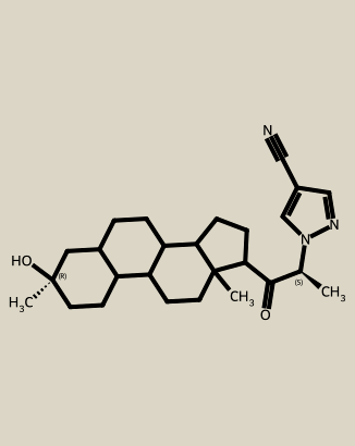 C[C@@H](C(=O)C1CCC2C3CCC4C[C@](C)(O)CCC4C3CCC12C)n1cc(C#N)cn1